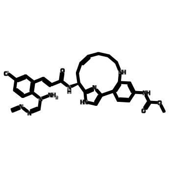 C=N/N=C\N(N)c1ccc(Cl)cc1/C=C/C(=O)N[C@H]1C/C=C\CCCNc2cc(NC(=O)OC)ccc2-c2c[nH]c1n2